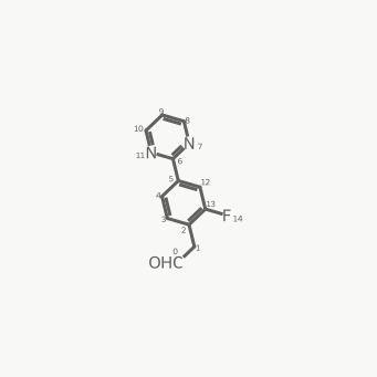 O=CCc1ccc(-c2ncccn2)cc1F